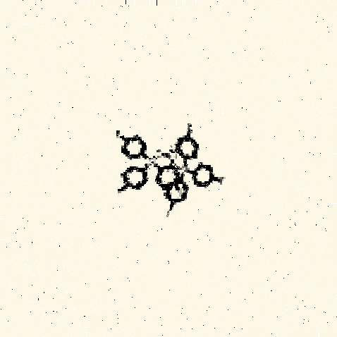 O=[PH](O[Si](c1ccc(F)cc1)(c1ccc(F)cc1)c1ccc(F)cc1)O[Si](c1ccc(F)cc1)(c1ccc(F)cc1)c1ccc(F)cc1